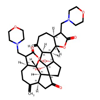 C=C1CC[C@H]2C(CN3CCOCC3)C(=O)O[C@@H]2[C@@H]2[C@H]1C[C@@]1(O)[C@]2(O)CC[C@]12C(=O)C[C@H]1C(=C)CC[C@H]3C(CN4CCOCC4)C(=O)O[C@@H]3[C@H]12